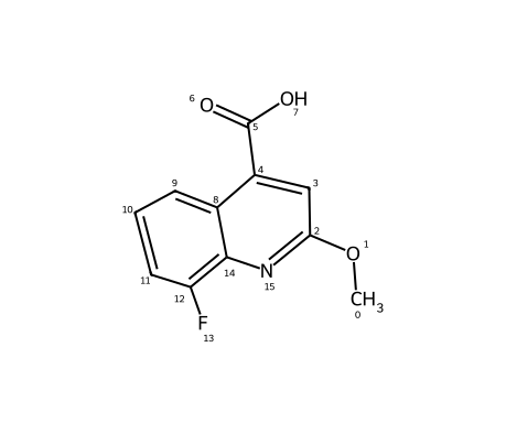 COc1cc(C(=O)O)c2cccc(F)c2n1